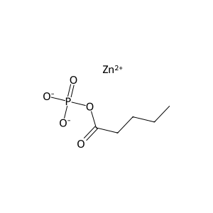 CCCCC(=O)OP(=O)([O-])[O-].[Zn+2]